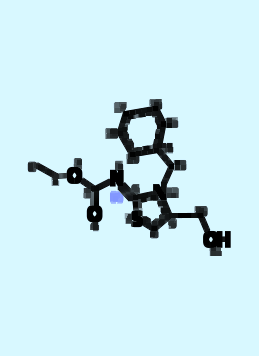 CCOC(=O)/N=c1\scc(CO)n1Cc1ccccc1